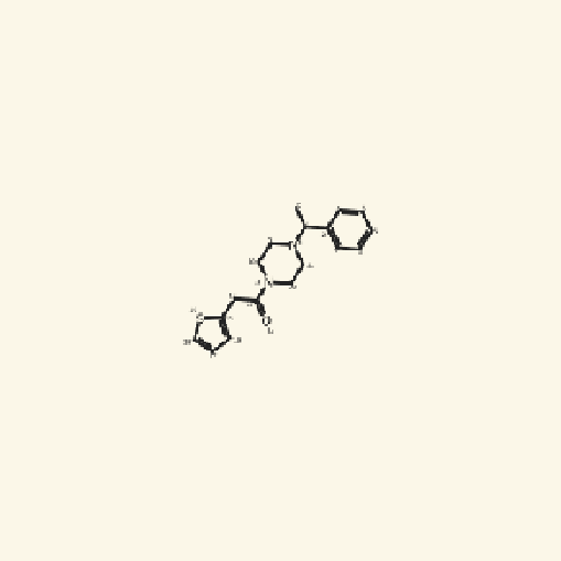 CC(c1ccccc1)N1CCN(C(=O)Cc2cccs2)CC1